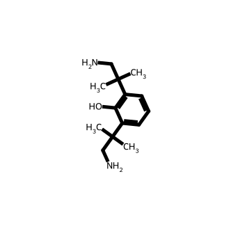 CC(C)(CN)c1cccc(C(C)(C)CN)c1O